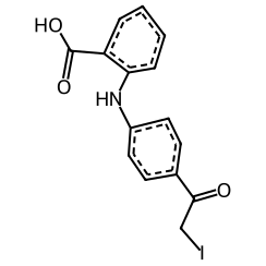 O=C(CI)c1ccc(Nc2ccccc2C(=O)O)cc1